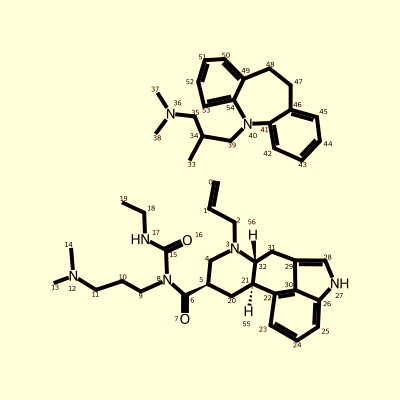 C=CCN1C[C@H](C(=O)N(CCCN(C)C)C(=O)NCC)C[C@@H]2c3cccc4[nH]cc(c34)C[C@H]21.CC(CN(C)C)CN1c2ccccc2CCc2ccccc21